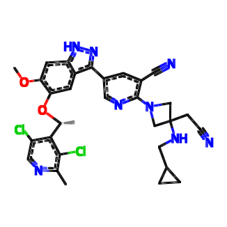 COc1cc2[nH]nc(-c3cnc(N4CC(CC#N)(NCC5CC5)C4)c(C#N)c3)c2cc1O[C@H](C)c1c(Cl)cnc(C)c1Cl